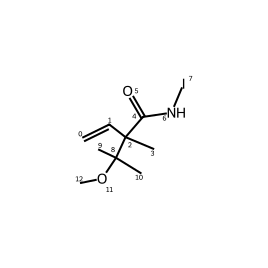 C=CC(C)(C(=O)NI)C(C)(C)OC